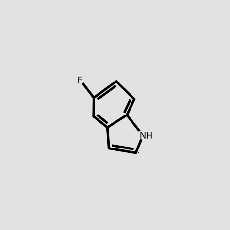 Fc1ccc2[nH][c]cc2c1